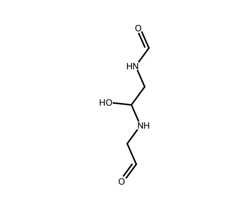 O=CCNC(O)CNC=O